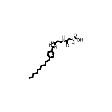 CCCCCCCCCCc1ccc(-c2noc(CCNC(=O)CNC(=O)O)n2)cc1